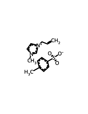 C=CC[n+]1ccn(C)c1.Cc1ccc(S(=O)(=O)[O-])cc1